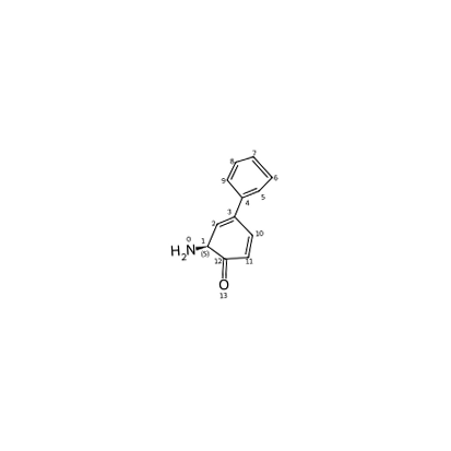 N[C@H]1C=C(c2ccccc2)C=CC1=O